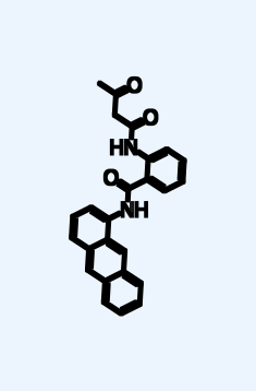 CC(=O)CC(=O)Nc1ccccc1C(=O)Nc1cccc2cc3ccccc3cc12